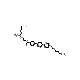 CCCCCCCc1cnc(-c2ccc(-c3ccc(C(=O)OCCOC(C)CCCCC)cc3)cc2)nc1